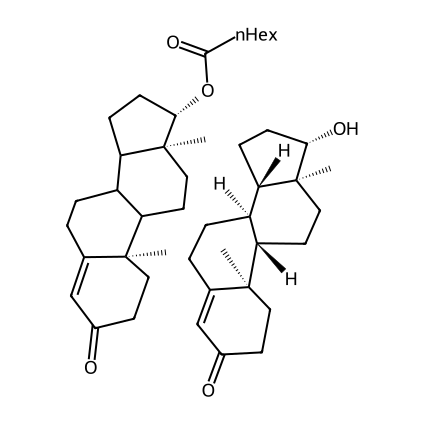 CCCCCCC(=O)O[C@H]1CCC2C3CCC4=CC(=O)CC[C@]4(C)C3CC[C@@]21C.C[C@]12CC[C@H]3[C@@H](CCC4=CC(=O)CC[C@@]43C)[C@@H]1CC[C@@H]2O